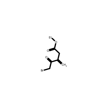 C=C(CC(=O)OCC)C(=O)CBr